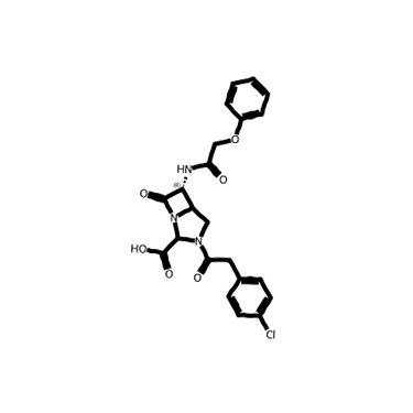 O=C(COc1ccccc1)N[C@H]1C(=O)N2C1CN(C(=O)Cc1ccc(Cl)cc1)C2C(=O)O